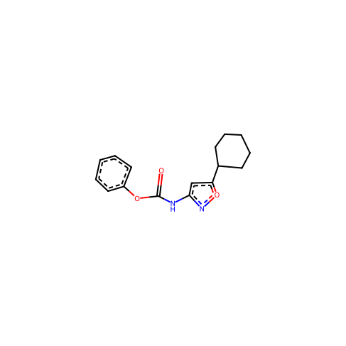 O=C(Nc1cc(C2CCCCC2)on1)Oc1ccccc1